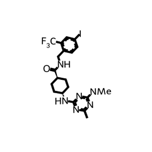 CNc1nc(C)nc(N[C@H]2CC[C@H](C(=O)NCc3ccc(I)cc3C(F)(F)F)CC2)n1